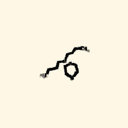 C1COCCO1.CCCCOCCCC